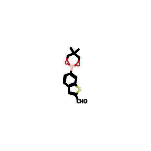 CC1(C)COB(c2ccc3cc(C=O)sc3c2)OC1